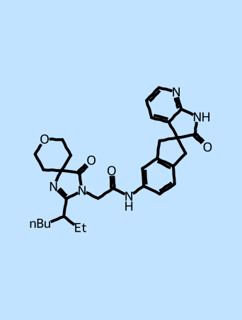 CCCCC(CC)C1=NC2(CCOCC2)C(=O)N1CC(=O)Nc1ccc2c(c1)CC1(C2)C(=O)Nc2ncccc21